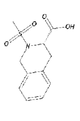 CS(=O)(=O)N1Cc2ccccc2C[C@H]1C(=O)O